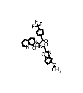 COc1ccc2oc(C(=O)NC(C(=O)c3ccc(C(F)(F)F)cc3)n3ccc4cccnc4c3=O)nc2c1